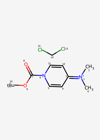 C[N+](C)=c1ccn(C(=O)OC(C)(C)C)cc1.ClCCl